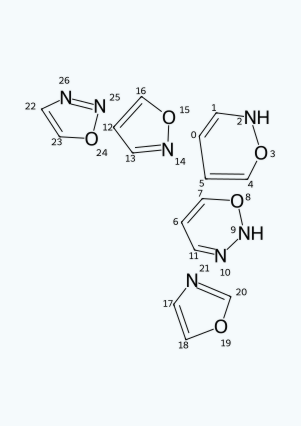 C1=CNOC=C1.C1=CONN=C1.c1cnoc1.c1cocn1.c1conn1